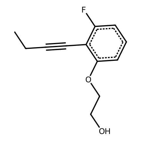 CCC#Cc1c(F)cccc1OCCO